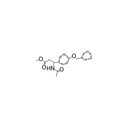 COC(=O)CC(NC(C)=O)c1ccc(OCc2ccccc2)cc1